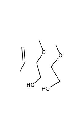 C=CC.COCCO.COCCO